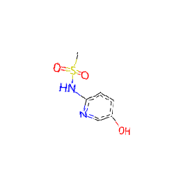 CS(=O)(=O)Nc1ccc(O)cn1